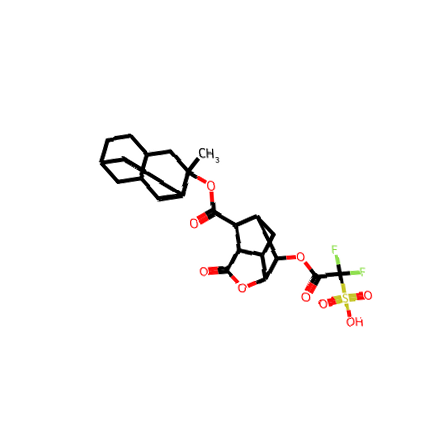 CC1(OC(=O)C2C3CC4C(OC(=O)C42)C3OC(=O)C(F)(F)S(=O)(=O)O)CC2CCC3CC2CC1C3